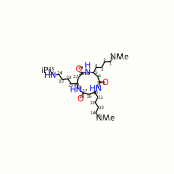 CNCCCCC1CC(=O)NC(CCCCNC)CC(=O)NC(CCCCNC(C)C)CC(=O)N1